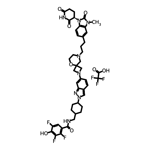 Cn1c(=O)n([C@@H]2CCC(=O)NC2=O)c2ccc(CCCN3CCOC4(C3)CN(c3ccc5cn(C6CCC(CNC(=O)c7cc(F)c(O)c(F)c7F)CC6)nc5c3)C4)cc21.O=C(O)C(F)(F)F